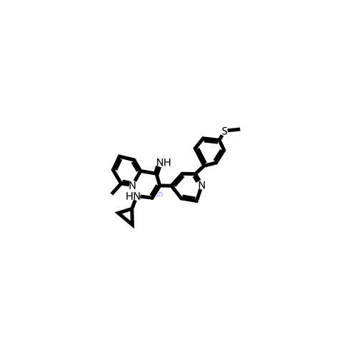 CSc1ccc(-c2cc(/C(=C/NC3CC3)C(=N)c3cccc(C)n3)ccn2)cc1